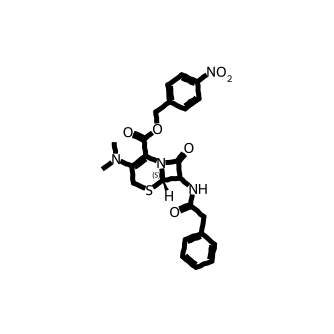 CN(C)C1=C(C(=O)OCc2ccc([N+](=O)[O-])cc2)N2C(=O)C(NC(=O)Cc3ccccc3)[C@@H]2SC1